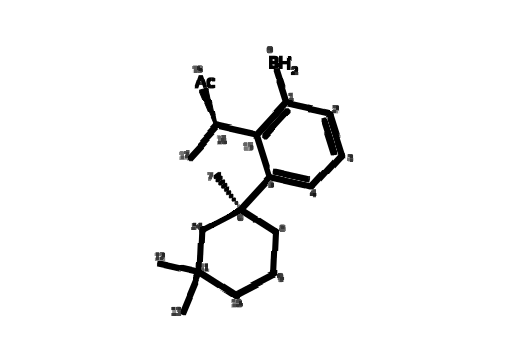 Bc1cccc([C@@]2(C)CCCC(C)(C)C2)c1[C@@H](C)C(C)=O